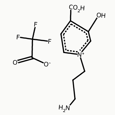 NCCC[n+]1ccc(C(=O)O)c(O)c1.O=C([O-])C(F)(F)F